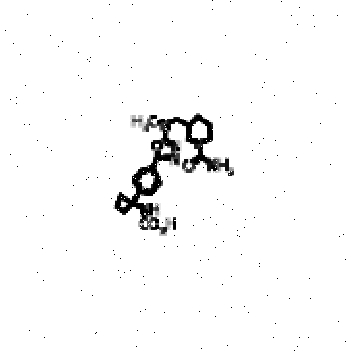 CN(CC1CCCN(C(N)=O)C1)c1nnc(-c2ccc(C3(NC(=O)O)CCC3)cc2)o1